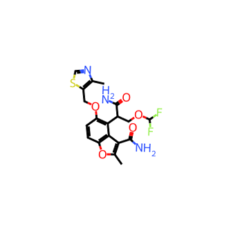 Cc1ncsc1COc1ccc2oc(C)c(C(N)=O)c2c1C(COC(F)F)C(N)=O